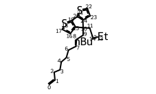 C=CCCCCCCCCC1(CC(CC)CCCC)c2ccsc2-c2sccc21